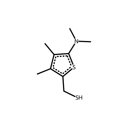 Cc1c(CS)sc(N(C)C)c1C